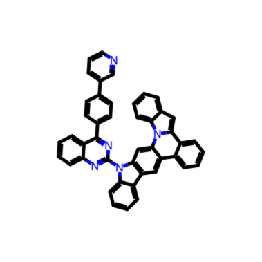 c1cncc(-c2ccc(-c3nc(-n4c5ccccc5c5cc6c7ccccc7c7cc8ccccc8n7c6cc54)nc4ccccc34)cc2)c1